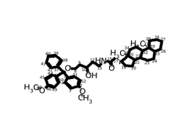 COc1ccc(C(OCCC(O)CCNC(=O)C[C@H]2CCC3C4CCC5CCCC[C@]5(C)C4CC[C@@]32C)(c2ccccc2)c2ccc(OC)cc2)cc1